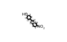 O=[N+]([O-])c1ccc2nc(-c3ccc(O)cc3)cn2c1